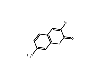 [2H]c1cc2ccc(N)cc2oc1=O